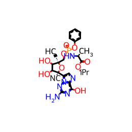 C#C[C@]1(CO[P@@](=O)(N[C@@H](C)C(=O)OC(C)C)Oc2ccccc2)O[C@@](C#N)(c2cnc3c(O)nc(N)nn23)C(O)C1O